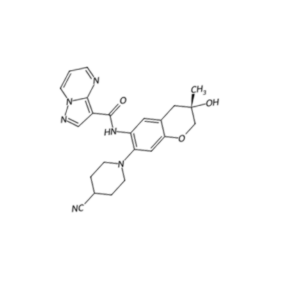 C[C@@]1(O)COc2cc(N3CCC(C#N)CC3)c(NC(=O)c3cnn4cccnc34)cc2C1